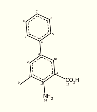 Cc1cc(-c2ccccc2)cc(C(=O)O)c1N